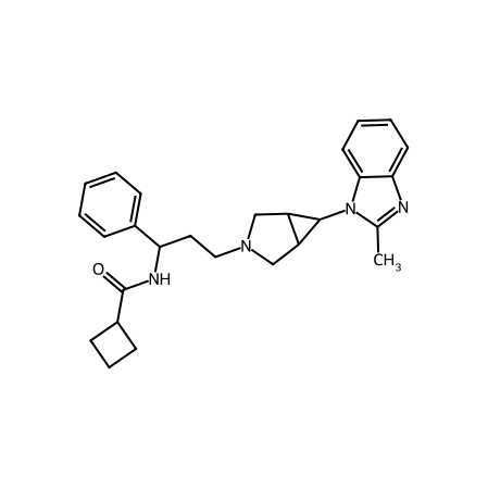 Cc1nc2ccccc2n1C1C2CN(CCC(NC(=O)C3CCC3)c3ccccc3)CC21